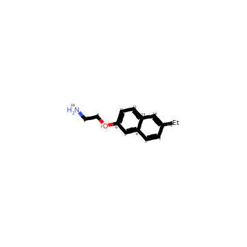 CCc1ccc2cc(OCCN)ccc2c1